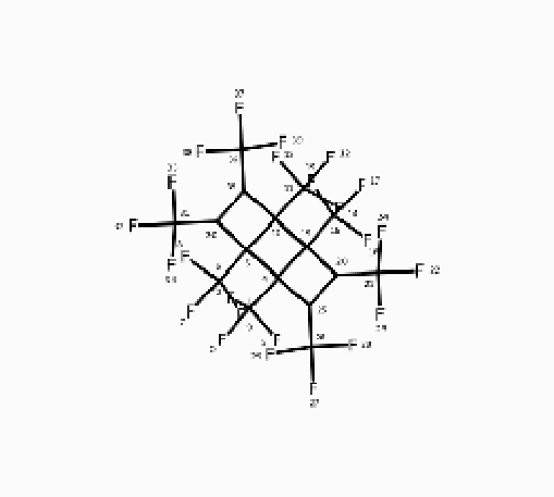 FC(F)(F)C12C3(C(F)(F)F)C4(C(F)(F)F)C1(C(F)(F)F)C1(C(F)(F)F)C2(C(F)(F)F)C3(C(F)(F)F)C41C(F)(F)F